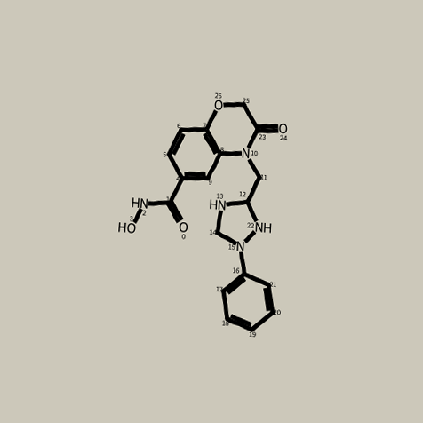 O=C(NO)c1ccc2c(c1)N(CC1NCN(c3ccccc3)N1)C(=O)CO2